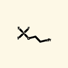 CCCCCO[Si](F)(F)F